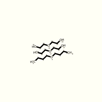 CCCCOCCCC.OCCOCCO.OCCOCCO